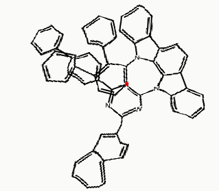 c1ccc(-c2ccc(-c3nc(-c4ccc5ccccc5c4)nc(-n4c5ccccc5c5ccc6c7ccccc7n(-c7cccc(-c8ccccc8)c7-c7ccccc7)c6c54)n3)cc2)cc1